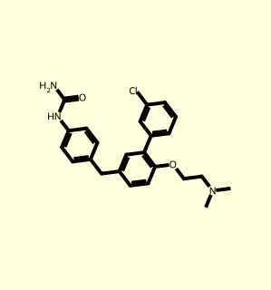 CN(C)CCOc1ccc(Cc2ccc(NC(N)=O)cc2)cc1-c1cccc(Cl)c1